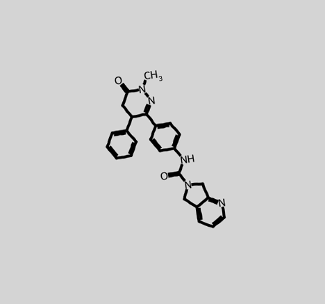 CN1N=C(c2ccc(NC(=O)N3Cc4cccnc4C3)cc2)C(c2ccccc2)CC1=O